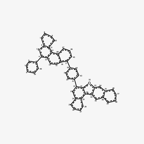 c1ccc(-c2nc3ccccc3c3c2ccc2c(-c4ccc(-c5cc6ccccc6c6c5oc5cc7ccccc7cc56)cc4)cccc23)cc1